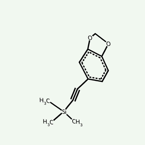 C[Si](C)(C)C#Cc1ccc2c(c1)OCO2